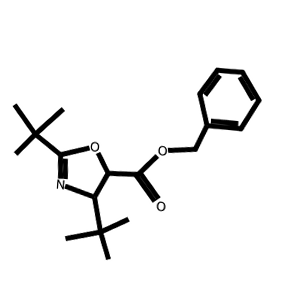 CC(C)(C)C1=NC(C(C)(C)C)C(C(=O)OCc2ccccc2)O1